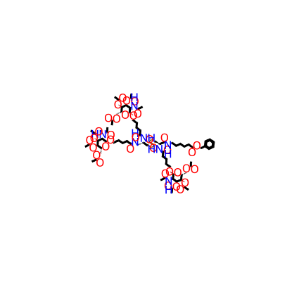 CC(=O)N[C@H]1[C@H](OCCCCC(=O)NC[C@@H](CS(=O)(=O)C[C@H](NC(=O)CCCCO[C@@H]2O[C@H](COC(C)=O)[C@H](OC(C)=O)[C@H](OC(C)=O)[C@H]2NC(C)=O)C(=O)NCCCCCC(=O)OCc2ccccc2)NC(=O)CCCCO[C@@H]2O[C@H](COC(C)=O)[C@H](OC(C)=O)[C@H](OC(C)=O)[C@H]2NC(C)=O)O[C@H](COC(C)=O)[C@H](OC(C)=O)[C@@H]1OC(C)=O